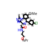 [CH2]CCOCCCNC(=O)C[C@@H]1N=C(c2ccc(Cl)cc2)c2cc(OC)ccc2-n2c(C)nnc21